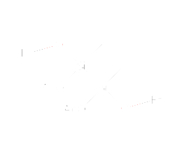 CCO[Si](C)(OC(C)=O)[Si](C)(OCC)OC(C)=O